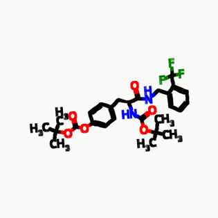 CC(C)(C)OC(=O)N[C@@H](Cc1ccc(OC(=O)OC(C)(C)C)cc1)C(=O)NCc1ccccc1C(F)(F)F